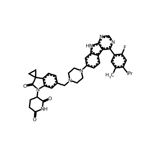 Cc1cc(-c2ncnc3[nH]c4cc(N5CCN(Cc6ccc7c(c6)N(C6CCC(=O)NC6=O)C(=O)C76CC6)CC5)ccc4c23)c(F)cc1C(C)C